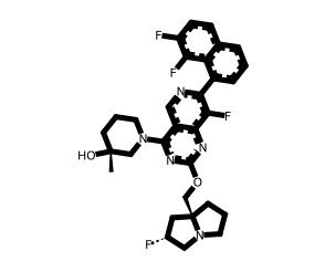 C[C@@]1(O)CCCN(c2nc(OC[C@@]34CCCN3C[C@H](F)C4)nc3c(F)c(-c4cccc5ccc(F)c(F)c45)ncc23)C1